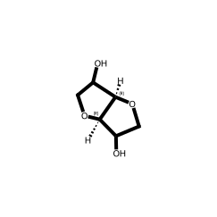 OC1CO[C@@H]2C(O)CO[C@H]12